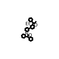 CCc1ccccc1-c1c(C)oc2ccc(-c3cccc(-n4c5ccccc5c5c6ccccc6oc54)c3)cc12